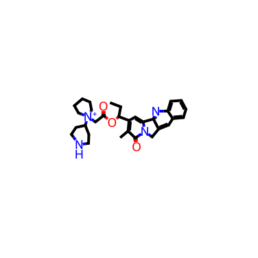 CCC(OC(=O)C[N+]1(C2CCNCC2)CCCCC1)c1cc2n(c(=O)c1C)Cc1cc3ccccc3nc1-2